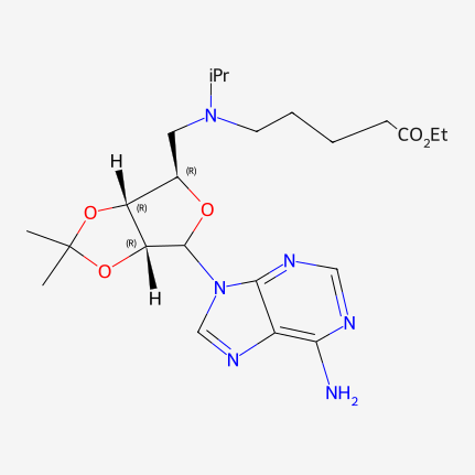 CCOC(=O)CCCCN(C[C@H]1OC(n2cnc3c(N)ncnc32)[C@@H]2OC(C)(C)O[C@H]12)C(C)C